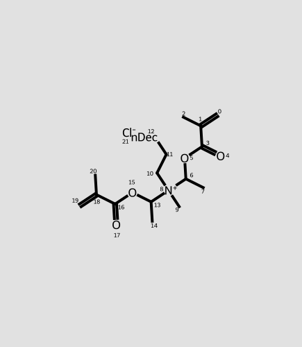 C=C(C)C(=O)OC(C)[N+](C)(CCCCCCCCCCCC)C(C)OC(=O)C(=C)C.[Cl-]